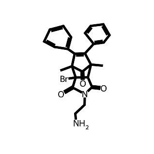 CC12C(=O)C(C)(C(c3ccccc3)=C1c1ccccc1)C1(Br)C(=O)N(CCN)C(=O)C21